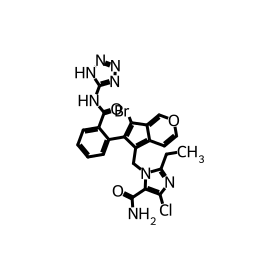 CCc1nc(Cl)c(C(N)=O)n1Cc1c2ccocc-2c(Br)c1-c1ccccc1C(=O)Nc1nnn[nH]1